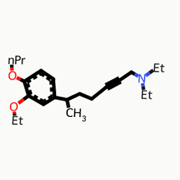 CCCOc1ccc(C(C)CCC#CCN(CC)CC)cc1OCC